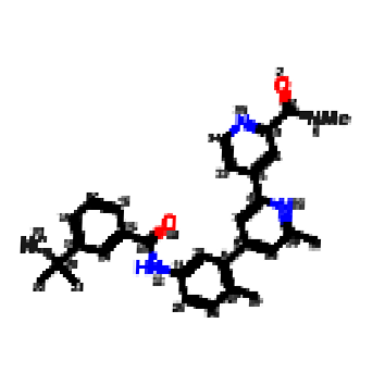 CNC(=O)c1cc(-c2cc(-c3cc(NC(=O)c4cccc(C(C)(C)C#N)c4)ccc3C)cc(C)n2)ccn1